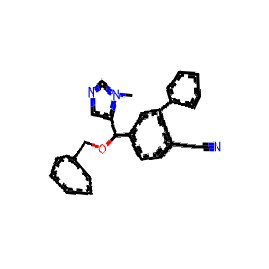 Cn1cncc1C(OCc1ccccc1)c1ccc(C#N)c(-c2ccccc2)c1